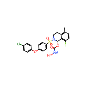 Cc1ccc(F)c2c1CCN(S(=O)(=O)c1ccc(Oc3ccc(Cl)cc3)cc1)[C@H]2OC(=O)NO